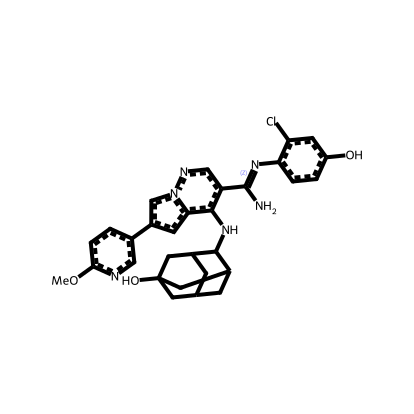 COc1ccc(-c2cc3c(NC4C5CC6CC4CC(O)(C6)C5)c(/C(N)=N/c4ccc(O)cc4Cl)cnn3c2)cn1